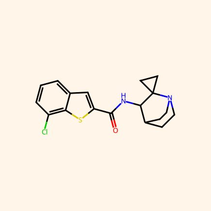 O=C(NC1C2CCN(CC2)C12CC2)c1cc2cccc(Cl)c2s1